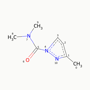 Cc1ccn(C(=O)N(C)C)n1